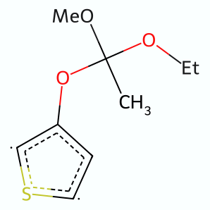 CCOC(C)(OC)Oc1[c]s[c]c1